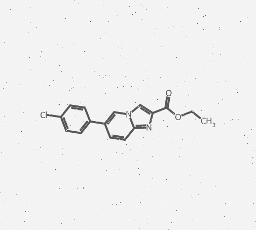 CCOC(=O)c1cn2cc(-c3ccc(Cl)cc3)ccc2n1